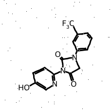 O=C1CN(c2cccc(C(F)(F)F)c2)C(=O)N1c1ccc(O)cn1